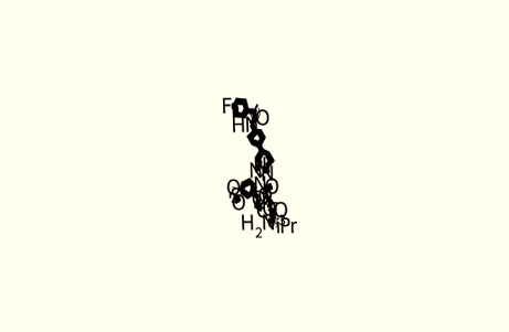 CC(C)[C@H](N)C(=O)OCOC(=O)N(c1nc2ccc(-c3ccc(NC(=O)[C@H](C)c4ccc(F)cc4)cc3)cn2n1)c1ccc(S(C)(=O)=O)cc1OCC(F)(F)F